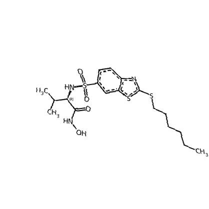 CCCCCCSc1nc2ccc(S(=O)(=O)N[C@@H](C(=O)NO)C(C)C)cc2s1